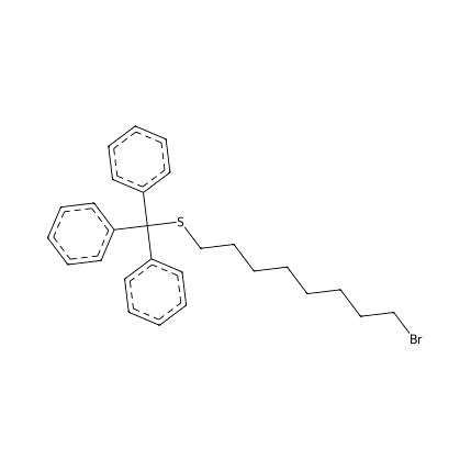 BrCCCCCCCCSC(c1ccccc1)(c1ccccc1)c1ccccc1